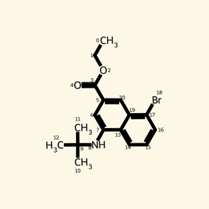 CCOC(=O)c1cc(NC(C)(C)C)c2cccc(Br)c2c1